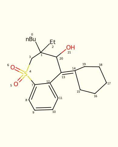 CCCCC1(CC)CS(=O)(=O)c2ccccc2C(=C2CCCCC2)C1O